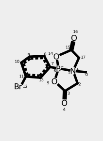 C[N+]12CC(=O)O[B-]1(c1cccc(Br)c1)OC(=O)C2